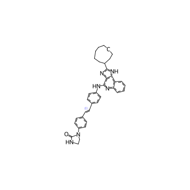 O=C1NCCN1c1ccc(/C=C/c2ccc(Nc3nc4ccccc4c4[nH]c(C5CCCCCCCC5)nc34)cc2)cc1